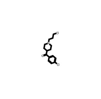 O=C(c1ccc(Cl)cc1)C1CCN(CCCCl)CC1